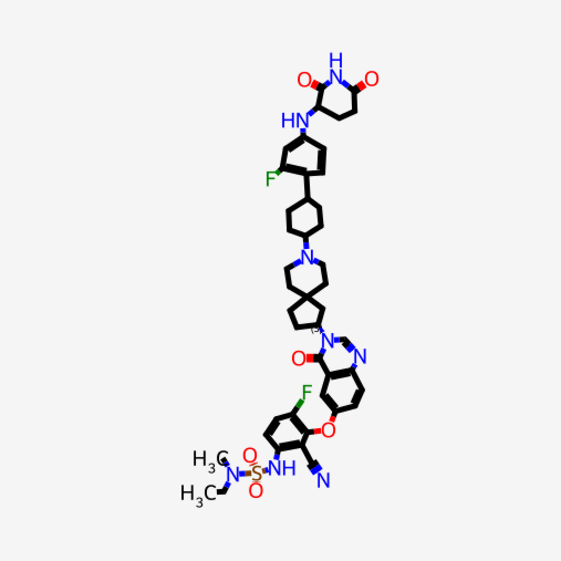 CCN(C)S(=O)(=O)Nc1ccc(F)c(Oc2ccc3ncn([C@H]4CCC5(CCN(C6CCC(c7ccc(NC8CCC(=O)NC8=O)cc7F)CC6)CC5)C4)c(=O)c3c2)c1C#N